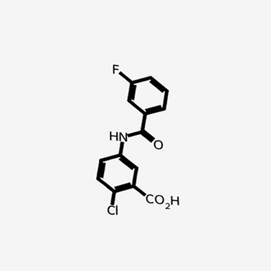 O=C(Nc1ccc(Cl)c(C(=O)O)c1)c1cccc(F)c1